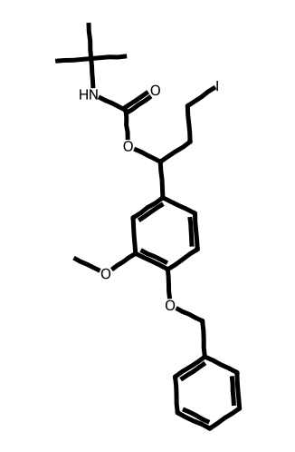 COc1cc(C(CCI)OC(=O)NC(C)(C)C)ccc1OCc1ccccc1